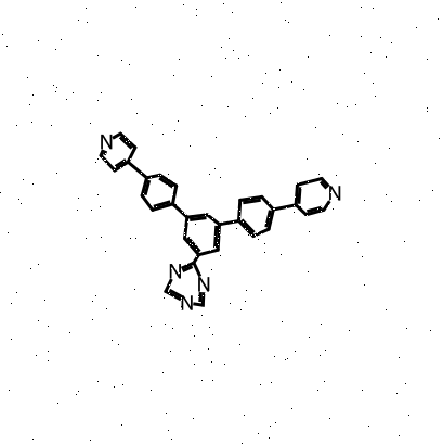 c1cc(-c2ccc(-c3cc(-c4ccc(-c5ccncc5)cc4)cc(-c4ncncn4)c3)cc2)ccn1